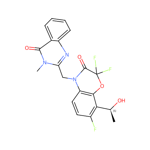 C[C@H](O)c1c(F)ccc2c1OC(F)(F)C(=O)N2Cc1nc2ccccc2c(=O)n1C